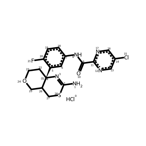 Cl.NC1=N[C@@]2(c3cc(NC(=O)c4ncc(Cl)cn4)ccc3F)CCOCC2CS1